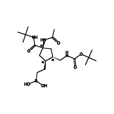 CC(=O)N[C@]1(C(=O)NC(C)(C)C)C[C@H](CCB(O)O)[C@@H](CNC(=O)OC(C)(C)C)C1